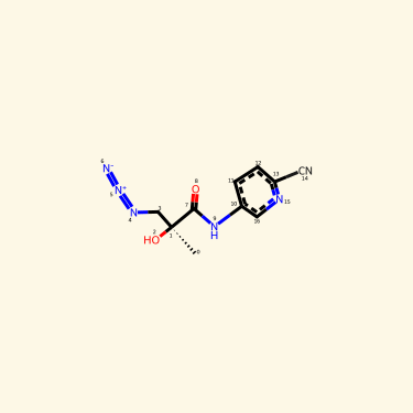 C[C@](O)(CN=[N+]=[N-])C(=O)Nc1ccc(C#N)nc1